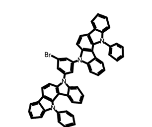 Brc1cc(-n2c3ccccc3c3c2ccc2c4ccccc4n(-c4ccccc4)c23)cc(-n2c3ccccc3c3c2ccc2c4ccccc4n(-c4ccccc4)c23)c1